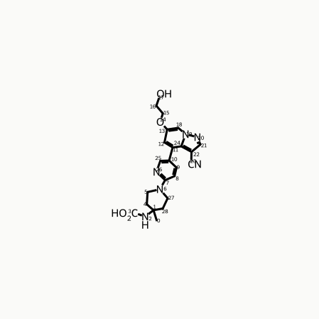 CC1(NC(=O)O)CCN(c2ccc(-c3cc(OCCO)cn4ncc(C#N)c34)cn2)CC1